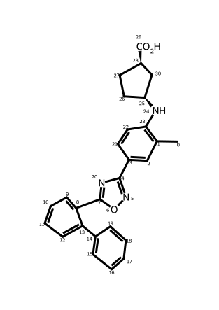 Cc1cc(-c2noc(-c3ccccc3-c3ccccc3)n2)ccc1N[C@H]1CC[C@@H](C(=O)O)C1